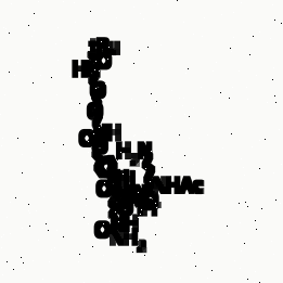 CC(=O)N[C@@H](CCCCN)C(=O)N[C@H](C(=O)N[C@@H](CCCNC(N)=O)C(=O)Nc1ccc(COC(=O)NCCOCCOCCNC(=O)CC(C)(C)C)cc1)C(C)C